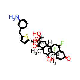 C[C@]12C=CC(=O)C=C1[C@@H](F)C[C@H]1[C@@H]3C[C@H]4O[C@@H](c5ccc(Cc6cccc(N)c6)s5)O[C@@]4(C(=O)CO)[C@@]3(C)C[C@H](O)[C@@]12F